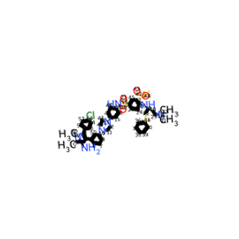 Cc1c(N)c(-c2cccc(N3CCN(c4ccc(NS(=O)(=O)c5ccc(N[C@H](CCN(C)C)CSc6ccccc6)c([SH](=O)=O)c5)cc4)CC3)c2)c(-c2ccc(Cl)cc2)n1C